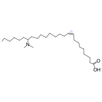 CCCCCCC(CCCCCCCC/C=C\CCCCCCCC(=O)O)N(C)C